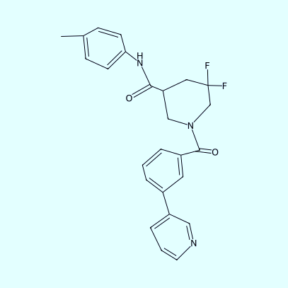 Cc1ccc(NC(=O)C2CN(C(=O)c3cccc(-c4cccnc4)c3)CC(F)(F)C2)cc1